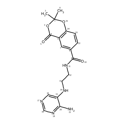 CC1(C)OC(=O)c2cc(C(=O)NCCNc3cncnc3N)ccc2O1